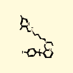 CCN(CCCCNCc1ncc(C)cc1C)Cc1ncccc1C(C)(C)c1ccc(F)cc1